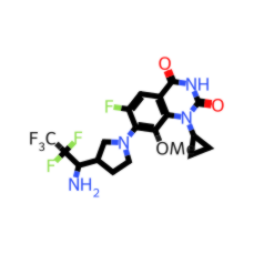 COc1c(N2CCC(C(N)C(F)(F)C(F)(F)F)C2)c(F)cc2c(=O)[nH]c(=O)n(C3CC3)c12